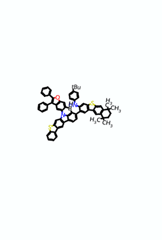 CC(C)(C)c1ccc(Nc2cc3sc4cc5c(cc4c3cc2-c2ccc3c4cc6c(cc4n4c3c2Bc2cc3oc(-c7ccccc7)c(-c7ccccc7)c3cc2-4)sc2ccccc26)C(C)(C)CCC5(C)C)cc1